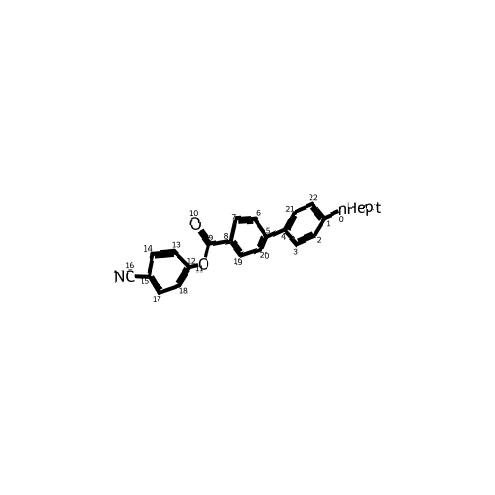 CCCCCCCc1ccc(-c2ccc(C(=O)Oc3ccc(C#N)cc3)cc2)cc1